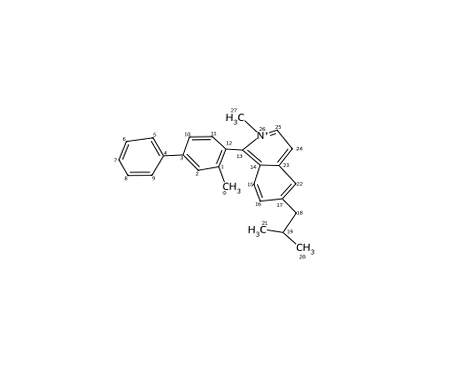 Cc1cc(-c2ccccc2)ccc1-c1c2ccc(CC(C)C)cc2cc[n+]1C